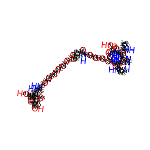 CC(=O)N[C@@H](CC(=O)O)C(=O)N[C@@H](Cc1c[nH]c2ccccc12)C(=O)N[C@@H](Cc1c[nH]cn1)C(=O)N[C@@H](Cc1c[nH]c2ccccc12)C(=O)NCCOCCOCCOCCOCCNC(=O)c1ccc(OC(=O)CCOCCOCCOCCOCCOCCOCCNC(=S)Nc2ccc3c(c2)C(=O)OC32c3ccc(O)cc3Oc3cc(O)ccc32)c(F)c1